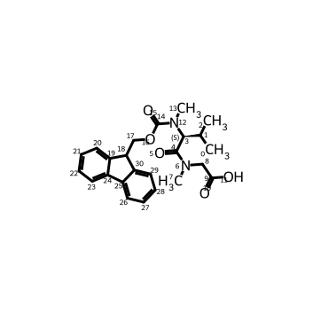 CC(C)[C@@H](C(=O)N(C)CC(=O)O)N(C)C(=O)OCC1c2ccccc2-c2ccccc21